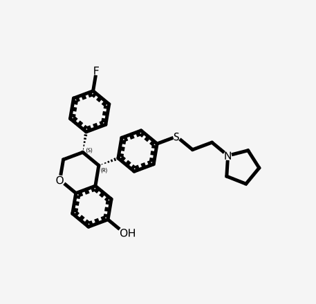 Oc1ccc2c(c1)[C@@H](c1ccc(SCCN3CCCC3)cc1)[C@@H](c1ccc(F)cc1)CO2